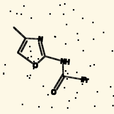 Cc1coc(NC(=O)C(C)C)n1